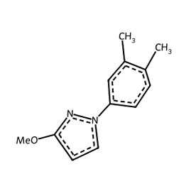 COc1ccn(-c2ccc(C)c(C)c2)n1